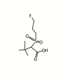 CC(C)(C)C(C(=O)O)S(=O)(=O)CCCF